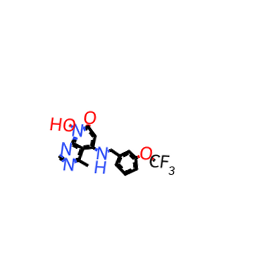 Cc1ncnc2c1c(NCc1cccc(OC(F)(F)F)c1)cc(=O)n2O